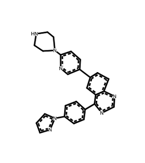 c1cnn(-c2ccc(-c3ncnc4ccc(-c5ccc(N6CCNCC6)nc5)cc34)cc2)c1